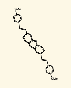 CSc1ccc(/C=C/c2ccc3cc4cc(/C=C/c5ccc(SC)cc5)ccc4cc3c2)cc1